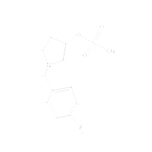 CS(=O)(=O)OC1CCN(Cc2ccc(F)cc2)C1